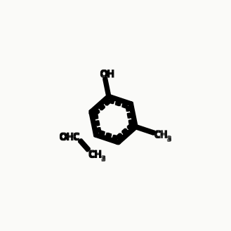 CC=O.Cc1cccc(O)c1